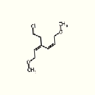 COC/C=C\C(=C/COC)CCCl